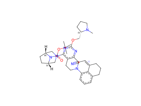 CN1CCC[C@H]1COc1nc2c(c(N3C[C@H]4CC[C@@H](C3)N4C(=O)OC(C)(C)C)n1)CCN(c1cccc3c1/C(=C\C#N)CCC3)C2